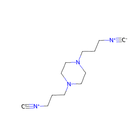 [C-]#[N+]CCCN1CCN(CCC[N+]#[C-])CC1